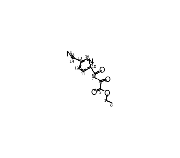 CCOC(=O)C(=O)CC(=O)c1ccc(C#N)cn1